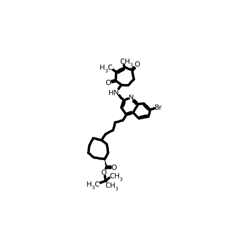 CC1=C(C)C(=O)C(Nc2cc(CCCCC3CCCC[C@H](C(=O)OC(C)(C)C)CC3)c3ccc(Br)cc3n2)CCC1=O